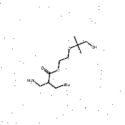 CC(C)(C)CC(CN)C(=O)OCCOC(C)(C)CO